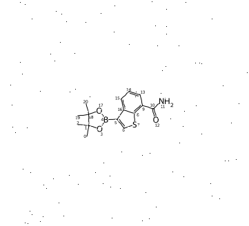 CC1(C)OB(c2csc3c(C(N)=O)cccc23)OC1(C)C